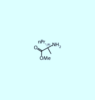 CCC[C@@](C)(N)C(=O)OC